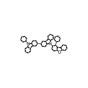 c1ccc(-c2c(-n3c4ccccc4c4cc(-c5ccc6c(c5)c5ccccc5n6-c5ccccc5)ccc43)ccc3oc4ccccc4c23)cc1